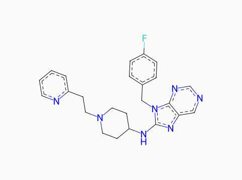 Fc1ccc(Cn2c(NC3CCN(CCc4ccccn4)CC3)nc3cncnc32)cc1